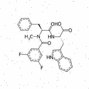 CN(C(=O)c1cc(F)cc(F)c1)[C@@H](Cc1ccccc1)C(=O)N[C@@H](Cc1c[nH]c2ccccc12)C(=O)O